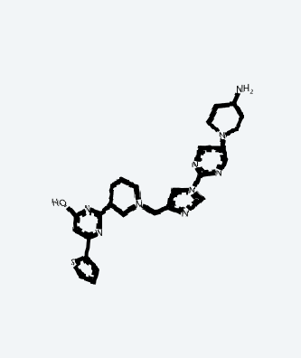 NC1CCN(c2cnc(-n3cnc(CN4CCCC(c5nc(O)cc(-c6cccs6)n5)C4)c3)nc2)CC1